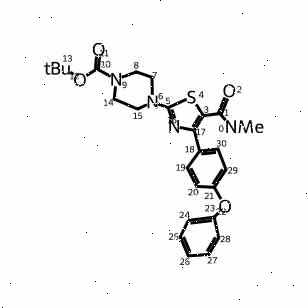 CNC(=O)c1sc(N2CCN(C(=O)OC(C)(C)C)CC2)nc1-c1ccc(Oc2ccccc2)cc1